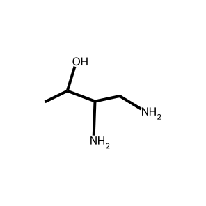 CC(O)C(N)CN